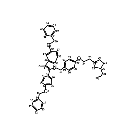 Cc1c(-c2ccc(OCc3ccccc3)cc2)n(Cc2ccc(OCCN3CCC(CF)C3)cc2)c2ccc(OCc3ccccc3)cc12